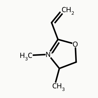 C=CC1=[N+](C)C(C)CO1